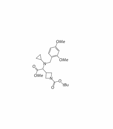 COC(=O)C(C1CN(C(=O)OC(C)(C)C)C1)N(Cc1ccc(OC)cc1OC)C1CC1